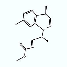 COC(=O)/C=C/[C@H](C)[C@H]1C=C[C@H](C)c2ccc(C)cc21